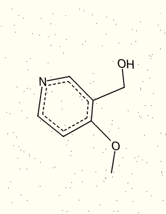 COc1ccncc1CO